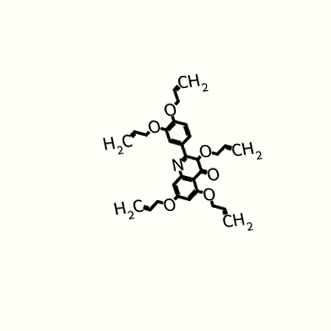 C=CCOc1cc2c(c(OCC=C)c1)C(=O)C(OCC=C)C(c1ccc(OCC=C)c(OCC=C)c1)=N2